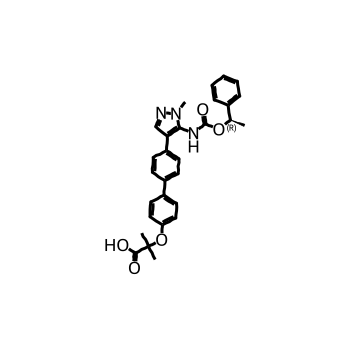 C[C@@H](OC(=O)Nc1c(-c2ccc(-c3ccc(OC(C)(C)C(=O)O)cc3)cc2)cnn1C)c1ccccc1